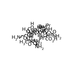 CC[C@H](C)[C@H](NC(=O)[C@@H](NC(=O)[C@H](CCCCN)NC(=O)[C@H](C)NC(=O)[C@@H](N)CC(N)=O)[C@@H](C)O)C(=O)N[C@H](C(=O)N[C@H](C(=O)N[C@@H](CCC(N)=O)C(=O)N[C@@H](CC(C)C)C(=O)O)C(C)C)[C@@H](C)CC